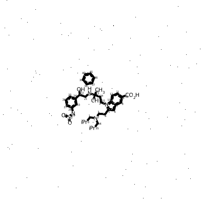 CC(C)CN(CCc1cc2cc(C(=O)O)ccc2n1CCC(C)(C)NCC(O)c1cccc(N=S(=O)=O)c1)CC(C)C.c1ccccc1